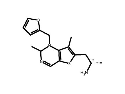 Cc1c(C[C@H](C)N)sc2c1N(Cc1ccco1)C(C)N=C2